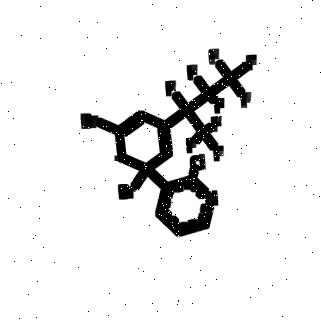 FC(F)(F)C(F)(F)C(F)(C1=CC(Br)(c2cccnc2Cl)[CH]C(Br)=C1)C(F)(F)F